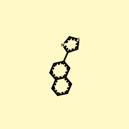 [c]1nc(-c2ccc3ccccc3c2)cs1